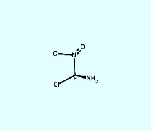 N[C@@H](Cl)[N+](=O)[O-]